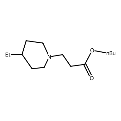 CCCCOC(=O)CCN1CCC(CC)CC1